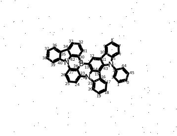 c1ccc(-n2c3ccccc3c3cc4c5c(c6ccccc6n5-c5cccc6c5B4c4cccc5c7ccccc7n-6c45)c32)cc1